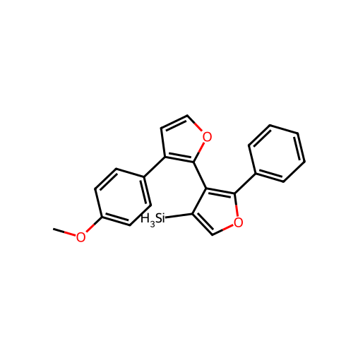 COc1ccc(-c2ccoc2-c2c([SiH3])coc2-c2ccccc2)cc1